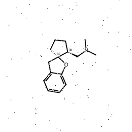 CN(C)C[C@@H]1CCC[C@]12Cc1ccccc1O2